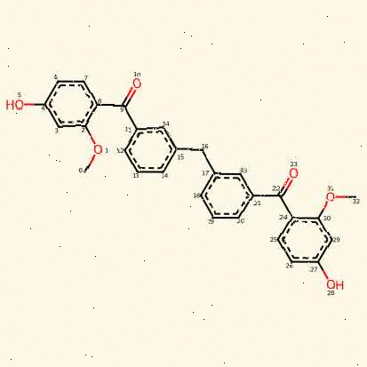 COc1cc(O)ccc1C(=O)c1cccc(Cc2cccc(C(=O)c3ccc(O)cc3OC)c2)c1